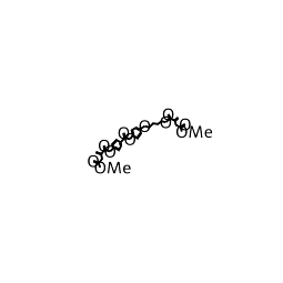 C=C(CC(=O)OC)C(=O)OCCCCOc1ccc(OC(=O)c2ccc(OC(=O)C(=C)CC(=O)OC)cc2)cc1